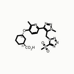 Cc1nc(-c2nnn(C)c2Cn2nnnc2S(C)(=O)=O)ccc1O[C@H]1CCC[C@H](C(=O)O)C1